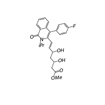 COC(=O)CC(O)CC(O)/C=C/c1c(-c2ccc(F)cc2)c2ccccc2c(=O)n1C(C)C